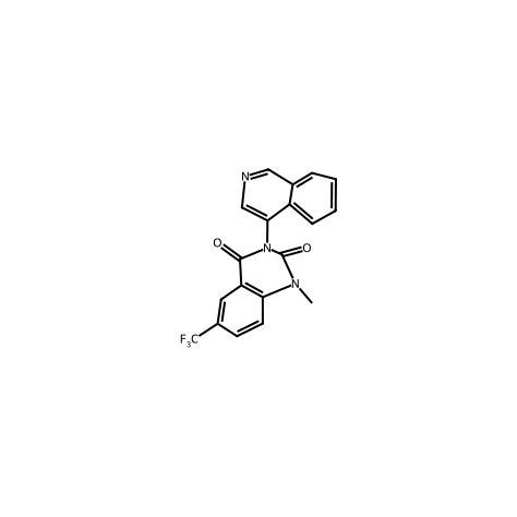 Cn1c(=O)n(-c2cncc3ccccc23)c(=O)c2cc(C(F)(F)F)ccc21